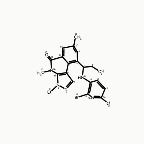 CCn1ncc2c3c(C(CO)Nc4ccc(Cl)nc4Br)cc(C)cc3c(=O)n(C)c21